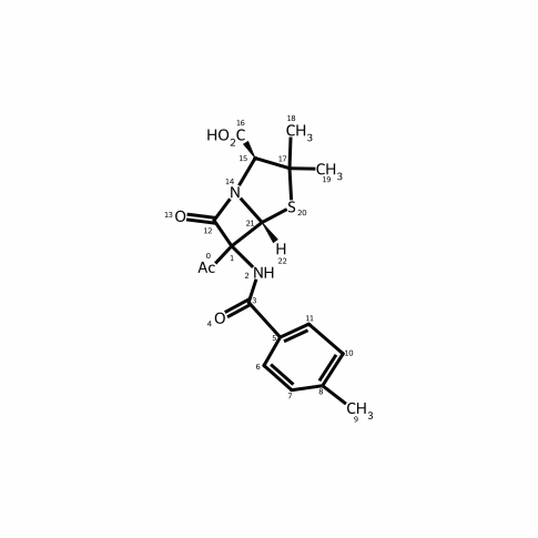 CC(=O)C1(NC(=O)c2ccc(C)cc2)C(=O)N2[C@@H](C(=O)O)C(C)(C)S[C@@H]21